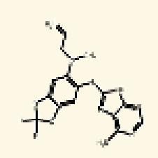 C=CCN(C)c1cc2c(cc1Sc1nc3c(N)ncnc3[nH]1)OC(F)(F)O2